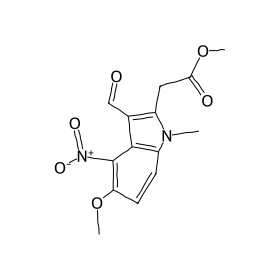 COC(=O)Cc1c(C=O)c2c([N+](=O)[O-])c(OC)ccc2n1C